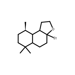 CCC12CCC3C(C1CCO2)[C@H](C)CCC3(C)C